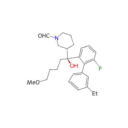 CCc1cccc(-c2c(F)cccc2[C@](O)(CCCCOC)C2CCCN(C=O)C2)c1